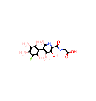 Bc1nc(C(=O)NCC(=O)O)c(O)c(B)c1-c1c(B)c(B)c(B)c(F)c1B